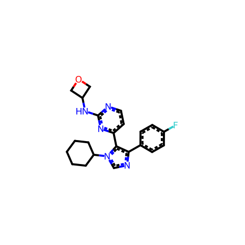 Fc1ccc(-c2ncn(C3CCCCC3)c2-c2ccnc(NC3COC3)n2)cc1